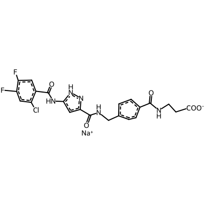 O=C([O-])CCNC(=O)c1ccc(CNC(=O)c2cc(NC(=O)c3cc(F)c(F)cc3Cl)[nH]n2)cc1.[Na+]